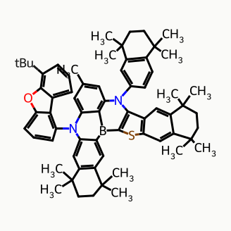 Cc1cc2c3c(c1)N(c1cccc4oc5c(C(C)(C)C)cccc5c14)c1cc4c(cc1B3c1sc3cc5c(cc3c1N2c1ccc2c(c1)C(C)(C)CCC2(C)C)C(C)(C)CCC5(C)C)C(C)(C)CCC4(C)C